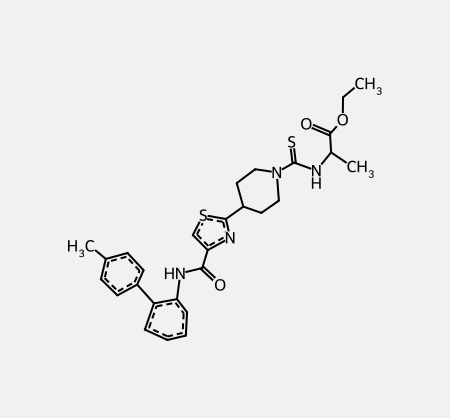 CCOC(=O)C(C)NC(=S)N1CCC(c2nc(C(=O)Nc3ccccc3-c3ccc(C)cc3)cs2)CC1